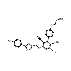 [C-]#[N+]c1c(N)nc(SCc2coc(-c3ccc(Cl)cc3)n2)c(C#N)c1-c1ccc(OCCO)cc1